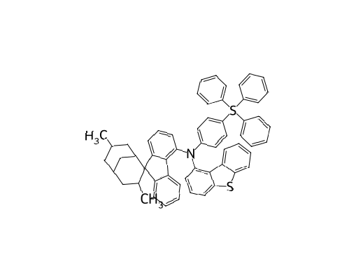 CC1CC2CC(C)C3(c4ccccc4-c4c(N(c5ccc(S(c6ccccc6)(c6ccccc6)c6ccccc6)cc5)c5cccc6sc7ccccc7c56)cccc43)C(C1)C2